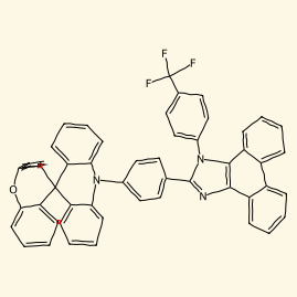 FC(F)(F)c1ccc(-n2c(-c3ccc(N4c5ccccc5C5(c6ccccc6Oc6ccccc65)c5ccccc54)cc3)nc3c4ccccc4c4ccccc4c32)cc1